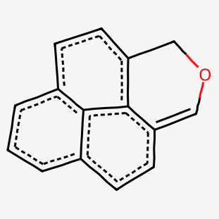 C1=c2ccc3cccc4ccc(c2c43)CO1